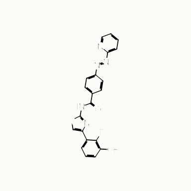 O=C(Nc1nc(-c2cccc(C(F)(F)F)c2F)cs1)c1ccc(N=Nc2ccccn2)cc1